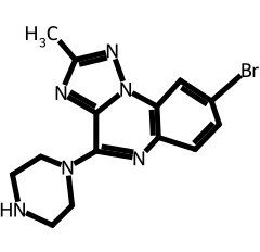 Cc1nc2c(N3CCNCC3)nc3ccc(Br)cc3n2n1